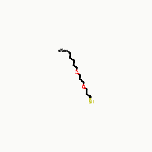 CCCCCCCCCCCCCCOCCCOCCCS